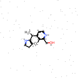 Cc1c(C(C)C2=CCC=N2)ccnc1CO